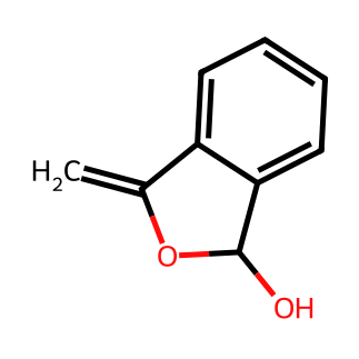 C=C1OC(O)c2ccccc21